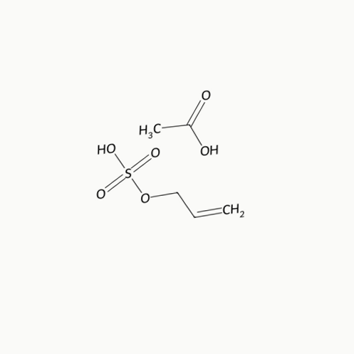 C=CCOS(=O)(=O)O.CC(=O)O